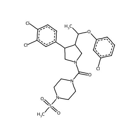 CC(Oc1cccc(Cl)c1)C1CN(C(=O)N2CCN(S(C)(=O)=O)CC2)CC1c1ccc(Cl)c(Cl)c1